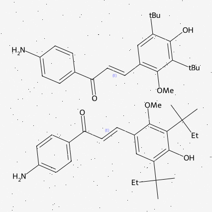 CCC(C)(C)c1cc(/C=C/C(=O)c2ccc(N)cc2)c(OC)c(C(C)(C)CC)c1O.COc1c(/C=C/C(=O)c2ccc(N)cc2)cc(C(C)(C)C)c(O)c1C(C)(C)C